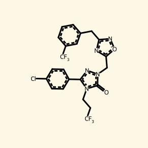 O=c1n(Cc2nc(Cc3cccc(C(F)(F)F)c3)no2)nc(-c2ccc(Cl)cc2)n1CCC(F)(F)F